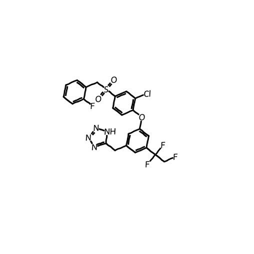 O=S(=O)(Cc1ccccc1F)c1ccc(Oc2cc(Cc3nnn[nH]3)cc(C(F)(F)CF)c2)c(Cl)c1